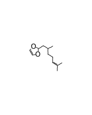 CC(C)=CCCC(C)CC1OC=CO1